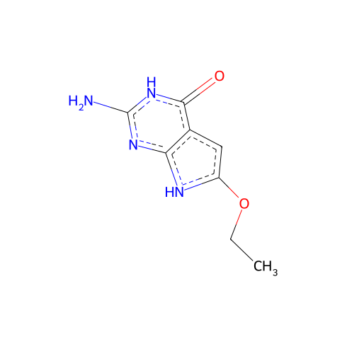 CCOc1cc2c(=O)[nH]c(N)nc2[nH]1